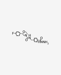 NNC(=O)c1ccc(CNC(=O)N2CCOC(c3ccc(F)cc3)C2)cc1